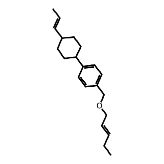 C/C=C/C1CCC(c2ccc(COCC=CCC)cc2)CC1